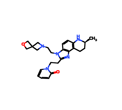 C[C@H]1CCc2c(ccc3c2nc(CCn2ccccc2=O)n3CCN2CC3(COC3)C2)N1